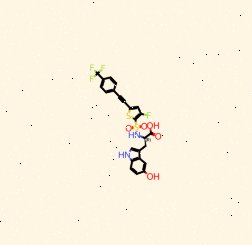 O=C(O)[C@@H](Cc1c[nH]c2ccc(O)cc12)NS(=O)(=O)c1sc(C#Cc2ccc(C(F)(F)F)cc2)cc1F